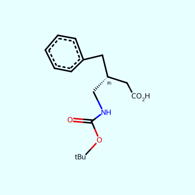 CC(C)(C)OC(=O)NC[C@@H](CC(=O)O)Cc1ccccc1